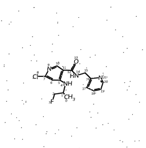 C[C@@H](CF)Nc1cc(Cl)ncc1C(=O)NCc1ccccn1